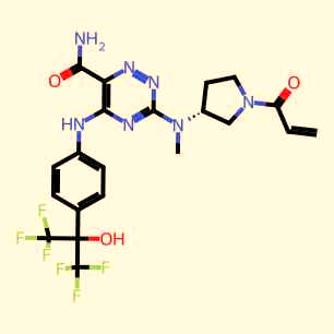 C=CC(=O)N1CC[C@@H](N(C)c2nnc(C(N)=O)c(Nc3ccc(C(O)(C(F)(F)F)C(F)(F)F)cc3)n2)C1